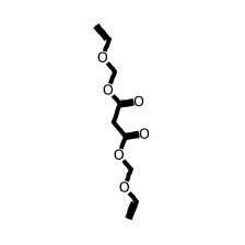 C=COCOC(=O)CC(=O)OCOC=C